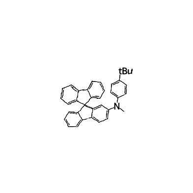 CN(c1ccc(C(C)(C)C)cc1)c1ccc2c(c1)C1(c3ccccc3-c3ccccc31)c1ccccc1-2